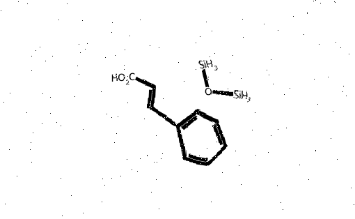 O=C(O)C=Cc1ccccc1.[SiH3]O[SiH3]